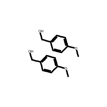 COc1ccc(CO)cc1.COc1ccc(CO)cc1